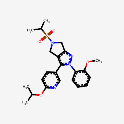 COc1ccccc1-n1nc2c(c1-c1ccc(OC(C)C)nc1)CN(S(=O)(=O)C(C)C)C2